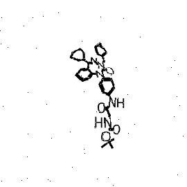 CC(C)(C)OC(=O)NCC(=O)Nc1ccc(N2C(=O)N(Cc3ccccc3)N=C(C3CCCCC3)c3ccccc32)cc1